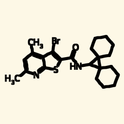 Cc1cc(C)c2c(Br)c(C(=O)NC3C4(CCCCC4)C34CCCCC4)sc2n1